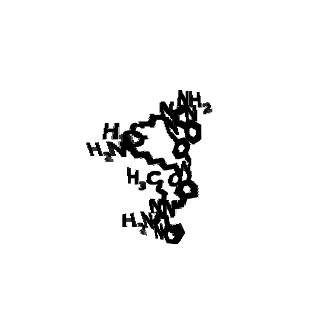 CCCCc1nc2c(N)nc3ccccc3c2n1Cc1ccc(CN(Cc2ccc(Cn3c(CCCC)nc4c(N)nc5ccccc5c43)cc2)C(=O)CCCCCCC(N)=O)cc1